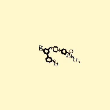 CCOc1cccc(-c2cc(CN3CCN(c4ccc(C(=O)NCC(F)(F)F)cc4)CC3)cc(OCC)c2)c1